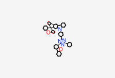 c1ccc(-c2nc(-c3ccc(-n4c5ccccc5c5cc6c(cc54)C4(c5ccccc5Oc5ccccc54)c4ccccc4-6)cc3)nc(-c3cccc4c3oc3ccccc34)n2)cc1